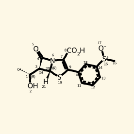 C[C@@H](O)[C@H]1C(=O)N2C(C(=O)O)=C(c3cccc([S+](C)[O-])c3)S[C@H]12